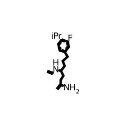 C=CNC(CCCc1ccc(C(C)C)c(F)c1)CCC(=C)N